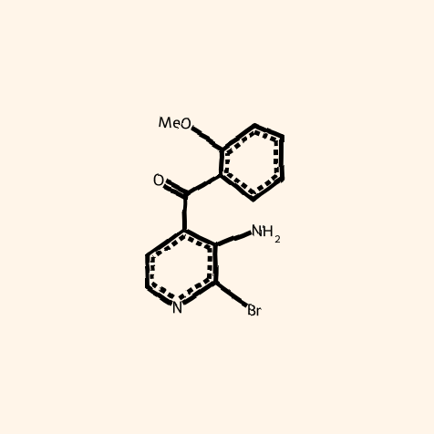 COc1ccccc1C(=O)c1ccnc(Br)c1N